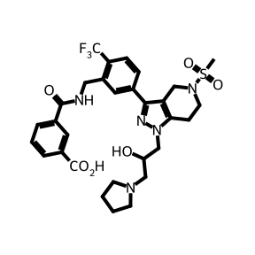 CS(=O)(=O)N1CCc2c(c(-c3ccc(C(F)(F)F)c(CNC(=O)c4cccc(C(=O)O)c4)c3)nn2CC(O)CN2CCCC2)C1